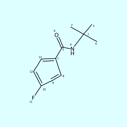 CC(C)(C)NC(=O)c1ccc(F)cc1